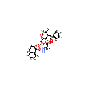 CC1C(O)C(COP(=O)(N[C@@H](C)C(=O)OCc2ccccc2)Oc2cccc3ccccc23)OC[C@H]1C